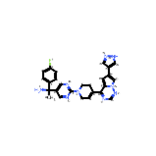 CC(N)(c1ccc(F)cc1)c1cnc(N2CC=C(c3ncnn4cc(-c5cn[nH]c5)cc34)CC2)nc1